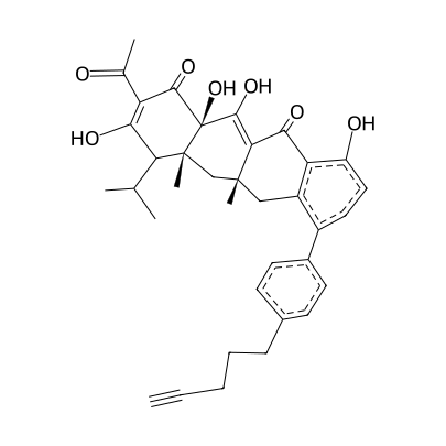 C#CCCCc1ccc(-c2ccc(O)c3c2C[C@]2(C)C[C@]4(C)C(C(C)C)C(O)=C(C(C)=O)C(=O)[C@]4(O)C(O)=C2C3=O)cc1